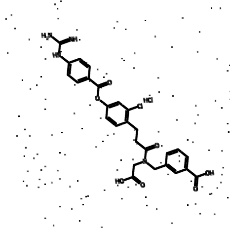 Cl.N=C(N)Nc1ccc(C(=O)Oc2ccc(CCC(=O)N(CC(=O)O)Cc3cccc(C(=O)O)c3)c(Cl)c2)cc1